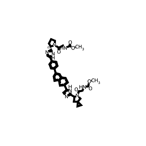 COC(=O)NCC(=O)N1CC2(CC2)CC1c1ncc(-c2ccc3cc(-c4ccc(-c5cnc([C@@H]6CCCN6C(=O)CNC(=O)OC)[nH]5)cc4)ccc3c2)[nH]1